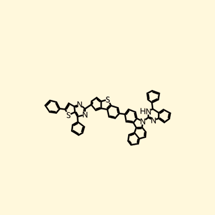 c1ccc(-c2cc3nc(-c4ccc5sc6cc(-c7ccc8c(c7)c7c9ccccc9ccc7n8C7=Nc8ccccc8C(c8ccccc8)N7)ccc6c5c4)nc(-c4ccccc4)c3s2)cc1